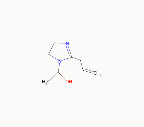 C=CCC1=NCCN1C(C)O